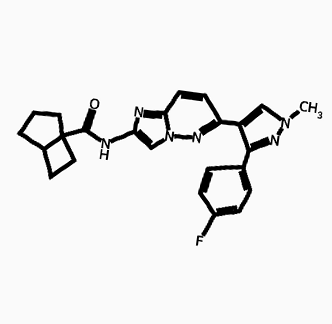 Cn1cc(-c2ccc3nc(NC(=O)C45CCCC4CC5)cn3n2)c(-c2ccc(F)cc2)n1